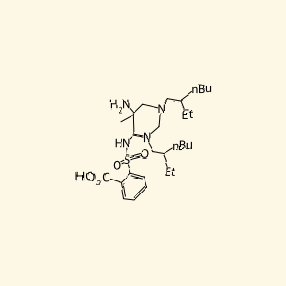 CCCCC(CC)CN1CN(CC(CC)CCCC)C(NS(=O)(=O)c2ccccc2C(=O)O)C(C)(N)C1